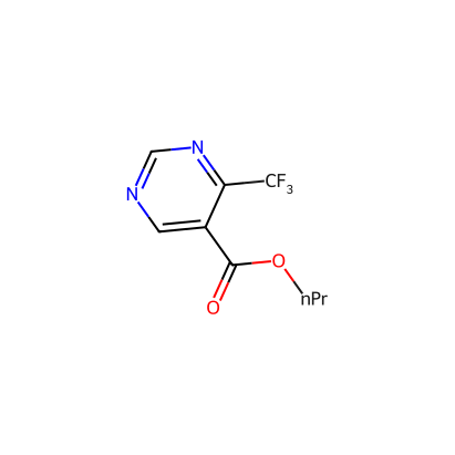 CCCOC(=O)c1cncnc1C(F)(F)F